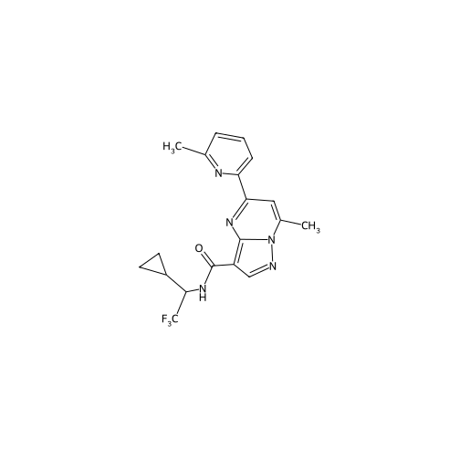 Cc1cccc(-c2cc(C)n3ncc(C(=O)NC(C4CC4)C(F)(F)F)c3n2)n1